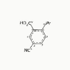 CC(C)c1ccc(C#N)cc1C(=O)O